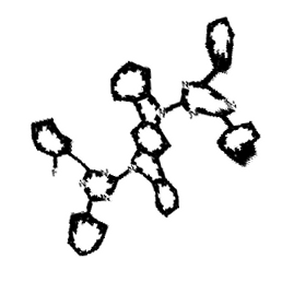 Fc1ccccc1-c1nc(-c2ccccc2)nc(-n2c3ccccc3c3cc4c(cc32)c2ccccc2n4-c2nc(-c3ccccc3)nc(-c3ccccc3)n2)n1